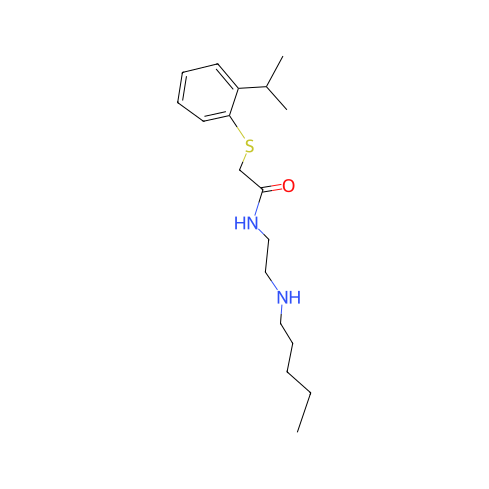 CCCCCNCCNC(=O)CSc1ccccc1C(C)C